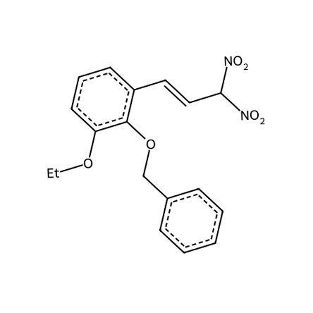 CCOc1cccc(C=CC([N+](=O)[O-])[N+](=O)[O-])c1OCc1ccccc1